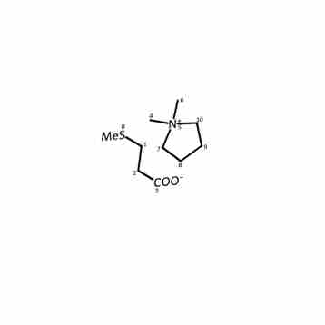 CSCCC(=O)[O-].C[N+]1(C)CCCC1